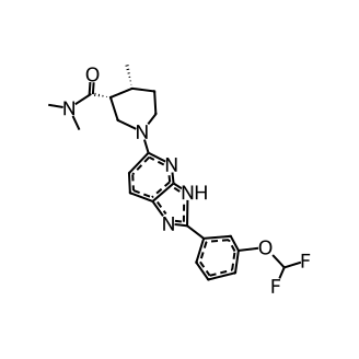 C[C@@H]1CCN(c2ccc3nc(-c4cccc(OC(F)F)c4)[nH]c3n2)C[C@@H]1C(=O)N(C)C